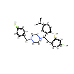 CC(C)c1ccc2c(c1)C(N1CCN(Cc3ccc(F)cc3)CC1)Cc1ccc(F)cc1S2